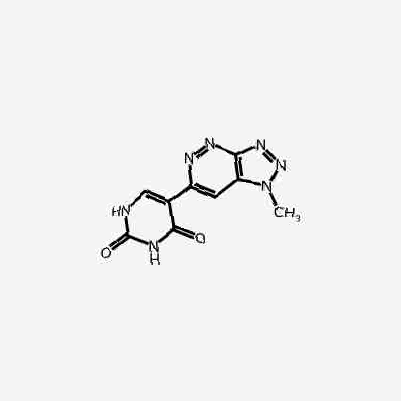 Cn1nnc2nnc(-c3c[nH]c(=O)[nH]c3=O)cc21